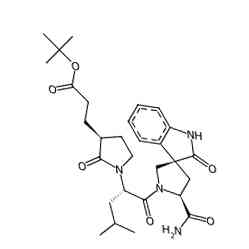 CC(C)C[C@@H](C(=O)N1C[C@]2(C[C@H]1C(N)=O)C(=O)Nc1ccccc12)N1CC[C@H](CCC(=O)OC(C)(C)C)C1=O